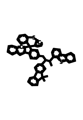 CC(c1cccc2c1sc1ccccc12)C(Cc1ccc2c(c1)C1(c3ccccc3Sc3ccccc31)c1cc3ccccc3cc1-2)c1ccc2c(c1)C(C)(C)c1ccccc1-2